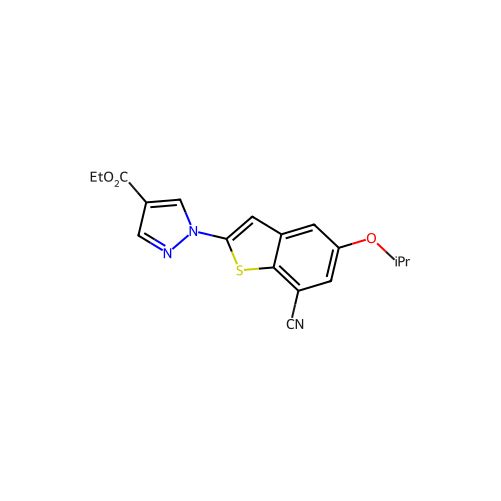 CCOC(=O)c1cnn(-c2cc3cc(OC(C)C)cc(C#N)c3s2)c1